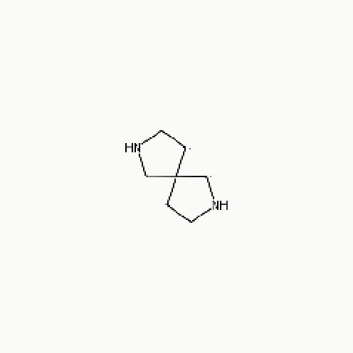 [CH]1CNCC12[CH]NCC2